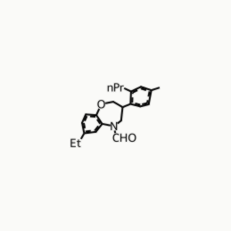 CCCc1cc(C)ccc1C1COc2ccc(CC)cc2N(C=O)C1